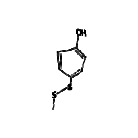 CSSc1ccc(O)cc1